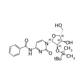 CC(C)(C)[Si](C)(C)O[C@@H]1[C@H](O)[C@@H](CO)O[C@H]1n1ccc(NC(=O)c2ccccc2)nc1=O